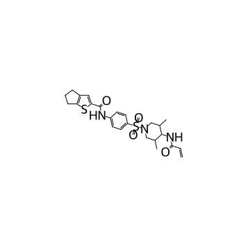 C=CC(=O)NC1C(C)CN(S(=O)(=O)c2ccc(NC(=O)c3cc4c(s3)CCC4)cc2)CC1C